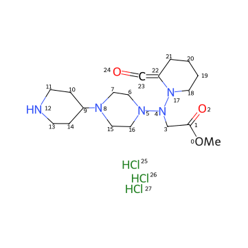 COC(=O)CN(N1CCN(C2CCNCC2)CC1)N1CCCCC1=C=O.Cl.Cl.Cl